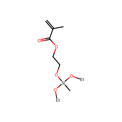 C=C(C)C(=O)OCCO[Si](C)(OCC)OCC